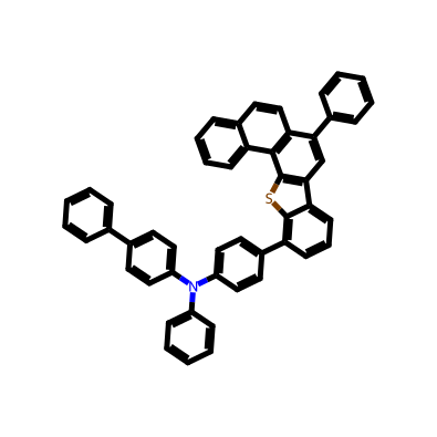 c1ccc(-c2ccc(N(c3ccccc3)c3ccc(-c4cccc5c4sc4c5cc(-c5ccccc5)c5ccc6ccccc6c54)cc3)cc2)cc1